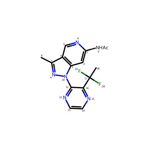 CC(=O)Nc1cc2c(cn1)c(C)nn2-c1nccnc1C(C)(F)F